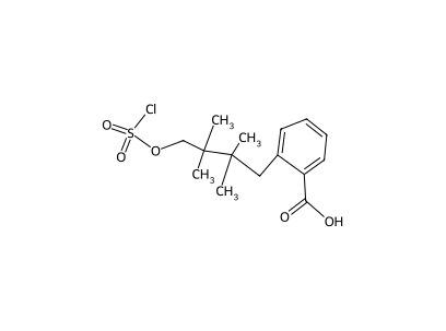 CC(C)(COS(=O)(=O)Cl)C(C)(C)Cc1ccccc1C(=O)O